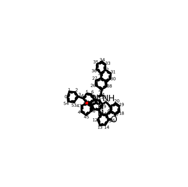 c1ccc(-c2ccc3ccc(-c4cccc5oc6cccc(C7NC(c8ccc9c(ccc%10ccccc%109)c8)=NC(c8ccccc8)N7)c6c45)cc3c2)cc1